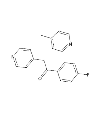 Cc1ccncc1.O=C(Cc1ccncc1)c1ccc(F)cc1